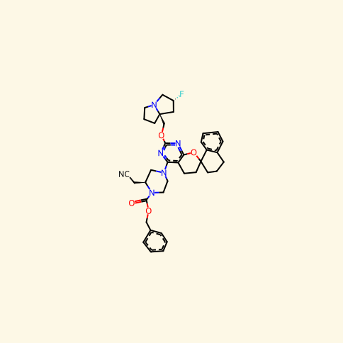 N#CC[C@H]1CN(c2nc(OC[C@@]34CCCN3C[C@H](F)C4)nc3c2CCC2(CCCc4ccccc42)O3)CCN1C(=O)OCc1ccccc1